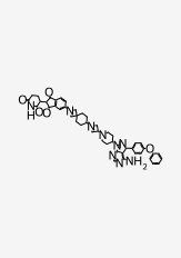 Nc1ncnc2c1c(-c1ccc(Oc3ccccc3)cc1)nn2C1CCN(C2CN(C3CCC4(CC3)CN(c3ccc5c(c3)C(=O)C(C3CCC(=O)NC3=O)C5=O)C4)C2)CC1